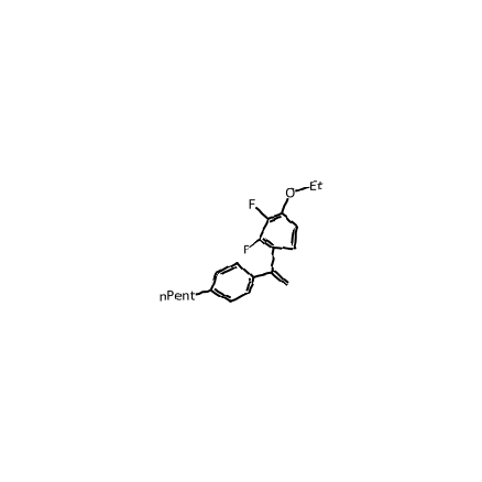 C=C(c1ccc(CCCCC)cc1)c1ccc(OCC)c(F)c1F